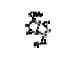 CCOC1COC2C(OC)COC12